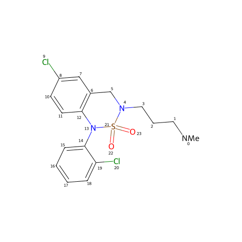 CNCCCN1Cc2cc(Cl)ccc2N(c2ccccc2Cl)S1(=O)=O